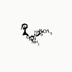 Cc1nnc(CNc2cc(OCC3CC3c3ccccn3)nc(N)n2)s1